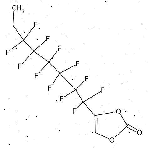 CCC(F)(F)C(F)(F)C(F)(F)C(F)(F)C(F)(F)C(F)(F)c1coc(=O)o1